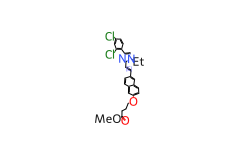 CCn1cc(-c2ccc(Cl)cc2Cl)nc1/C=C/c1ccc2cc(OCCCC(=O)OC)ccc2c1